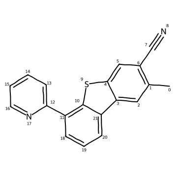 Cc1cc2c(cc1C#N)sc1c(-c3ccccn3)cccc12